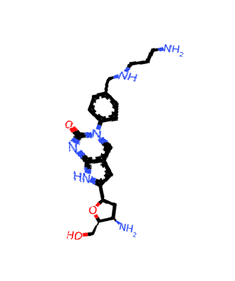 NCCCNCc1ccc(-n2cc3cc(C4C[C@@H](N)[C@@H](CO)O4)[nH]c3nc2=O)cc1